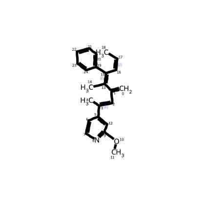 C=C(/C=C(\C)c1ccnc(OC)c1)/C(C)=C(\C=C/C)c1ccccc1